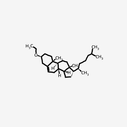 CCO[C@H]1CC[C@@]2(C)C(=CC[C@H]3[C@H]4CC[C@@H]([C@H](C)CCCC(C)C)[C@@]4(C)CC[C@@H]32)C1